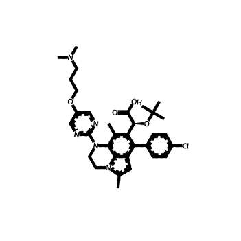 Cc1c([C@H](OC(C)(C)C)C(=O)O)c(-c2ccc(Cl)cc2)c2cc(C)n3c2c1N(c1ncc(OCCCN(C)C)cn1)CC3